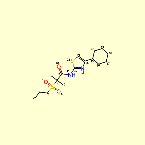 CCCS(=O)(=O)C(C)(C)C(=O)Nc1nc(C2CCCCC2)cs1